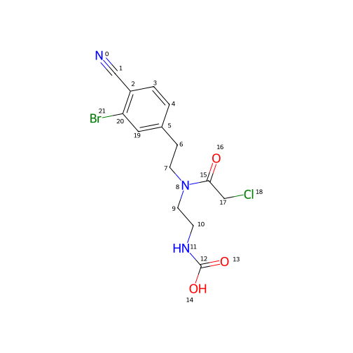 N#Cc1ccc(CCN(CCNC(=O)O)C(=O)CCl)cc1Br